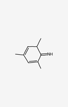 CC1=CC(C)C(=N)C(C)=C1